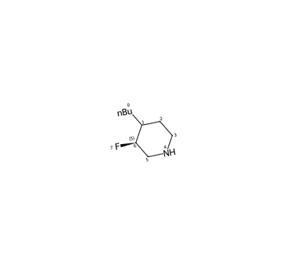 CCCCC1CCNC[C@H]1F